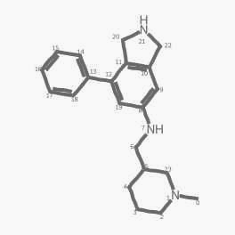 CN1CCCC(CNc2cc3c(c(-c4ccccc4)c2)CNC3)C1